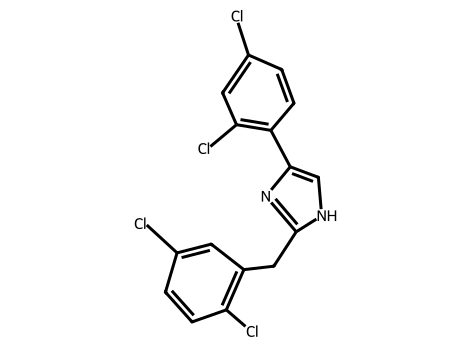 Clc1ccc(-c2c[nH]c(Cc3cc(Cl)ccc3Cl)n2)c(Cl)c1